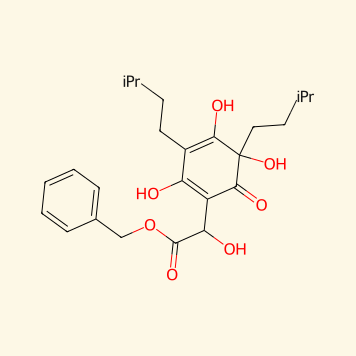 CC(C)CCC1=C(O)C(O)(CCC(C)C)C(=O)C(C(O)C(=O)OCc2ccccc2)=C1O